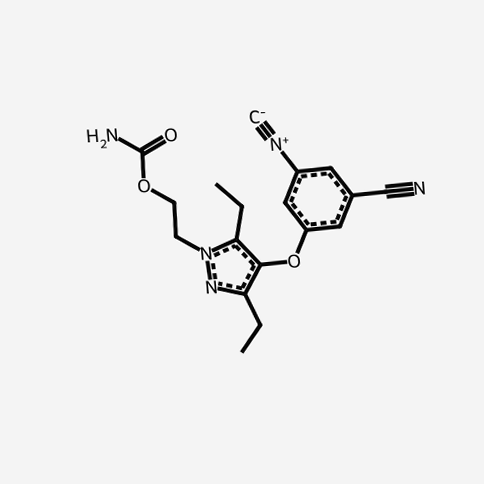 [C-]#[N+]c1cc(C#N)cc(Oc2c(CC)nn(CCOC(N)=O)c2CC)c1